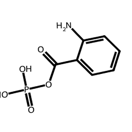 Nc1ccccc1C(=O)OP(=O)(O)O